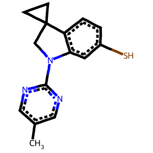 Cc1cnc(N2CC3(CC3)c3ccc(S)cc32)nc1